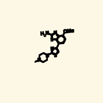 COc1ccc(-c2csc(N3CCN(C)CC3)n2)c2sc(N)nc12